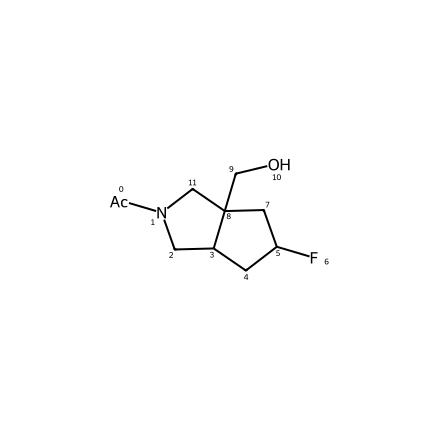 CC(=O)N1CC2CC(F)CC2(CO)C1